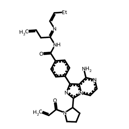 C=CC/C(=N\C=C/CC)NC(=O)c1ccc(-c2nc(C3CCCN3C(=O)C=C)n3ccnc(N)c23)cc1